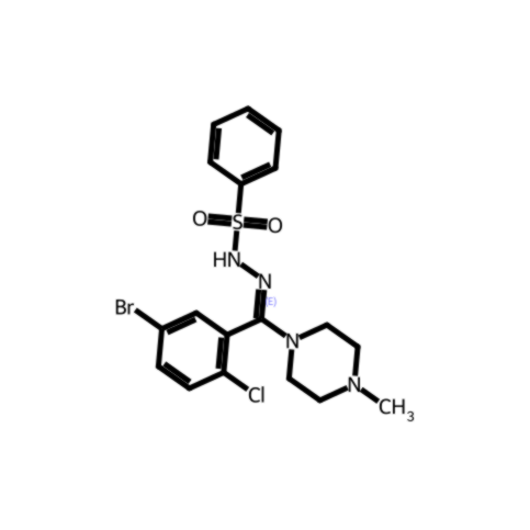 CN1CCN(/C(=N/NS(=O)(=O)c2ccccc2)c2cc(Br)ccc2Cl)CC1